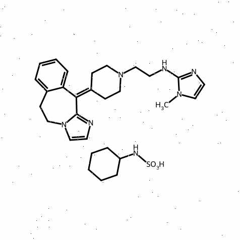 Cn1ccnc1NCCN1CCC(=C2c3ccccc3CCn3ccnc32)CC1.O=S(=O)(O)NC1CCCCC1